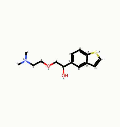 CN(C)CCOC[C@H](O)c1ccc2sccc2c1